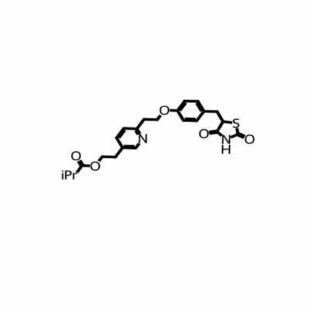 CC(C)C(=O)OCCc1ccc(CCOc2ccc(CC3SC(=O)NC3=O)cc2)nc1